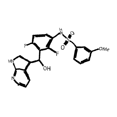 COc1cccc(S(=O)(=O)Nc2ccc(F)c(C(O)C3CNc4ncccc43)c2F)c1